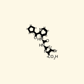 O=C(Nc1nc(C(=O)O)c(Br)s1)Nc1cccnc1C(=O)C1CCCC1